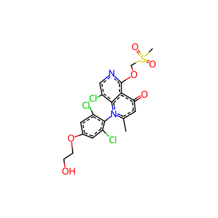 Cc1cc(=O)c2c(OCS(C)(=O)=O)ncc(Cl)c2n1-c1c(Cl)cc(OCCO)cc1Cl